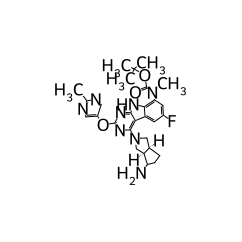 Cc1ncc(Oc2nc(N3C[C@H]4CC[C@@H](N)[C@H]4C3)c3c(n2)[nH]c2c(N(C)C(=O)OC(C)(C)C)cc(F)cc23)cn1